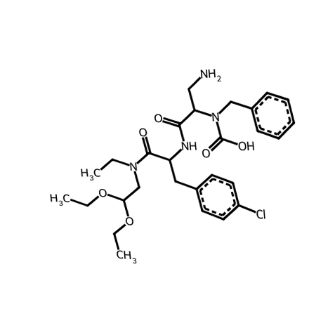 CCOC(CN(CC)C(=O)C(Cc1ccc(Cl)cc1)NC(=O)C(CN)N(Cc1ccccc1)C(=O)O)OCC